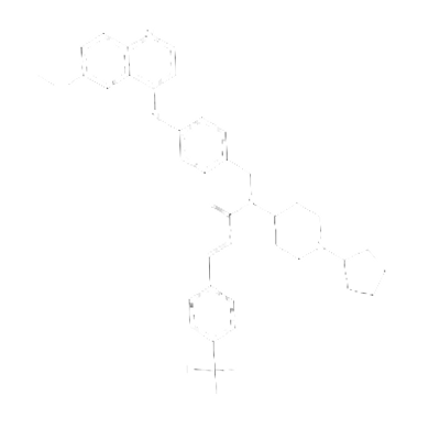 COc1ccc2nccc(Nc3ccc(CN(C(=O)/C=C/c4ccc(C(F)(F)F)cc4)C4CCN(C5CCCC5)CC4)cc3)c2c1